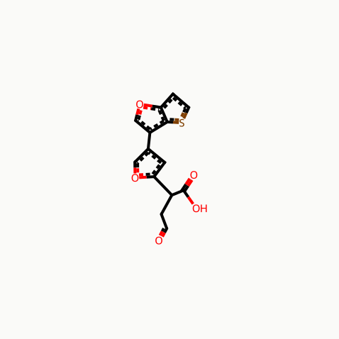 O=CCC(C(=O)O)c1cc(-c2coc3ccsc23)co1